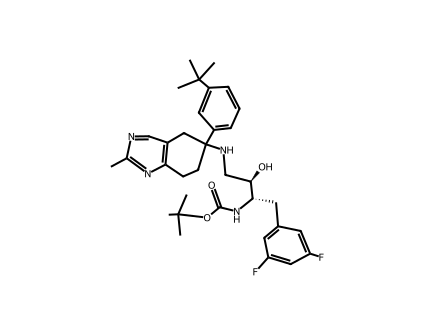 Cc1ncc2c(n1)CCC(NC[C@@H](O)[C@H](Cc1cc(F)cc(F)c1)NC(=O)OC(C)(C)C)(c1cccc(C(C)(C)C)c1)C2